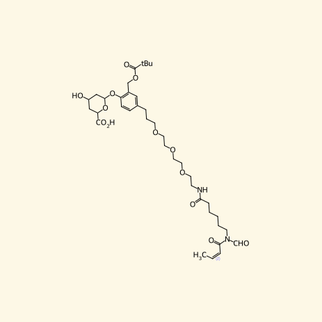 C/C=C\C(=O)N(C=O)CCCCCC(=O)NCCOCCOCCOCCCc1ccc(OC2CC(O)CC(C(=O)O)O2)c(COC(=O)C(C)(C)C)c1